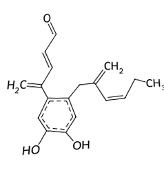 C=C(/C=C\CC)Cc1cc(O)c(O)cc1C(=C)/C=C/C=O